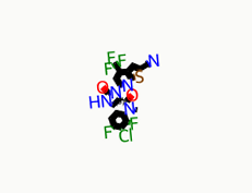 CN(C(=O)[C@@H]1CNC(=O)N1c1cc(C(F)(F)F)c2cc(C#N)sc2n1)c1ccc(F)c(Cl)c1F